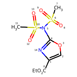 CCOC(=O)c1coc(N(S(C)(=O)=O)S(C)(=O)=O)n1